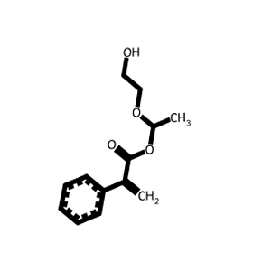 C=C(C(=O)OC(C)OCCO)c1ccccc1